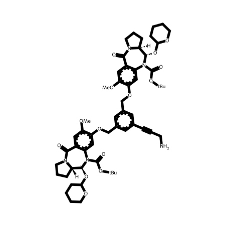 COc1cc2c(cc1OCc1cc(C#CCN)cc(COc3cc4c(cc3OC)C(=O)N3CCC[C@H]3[C@H](OC3CCCCO3)N4C(=O)OC(C)(C)C)c1)N(C(=O)OC(C)(C)C)[C@@H](OC1CCCCO1)[C@@H]1CCCN1C2=O